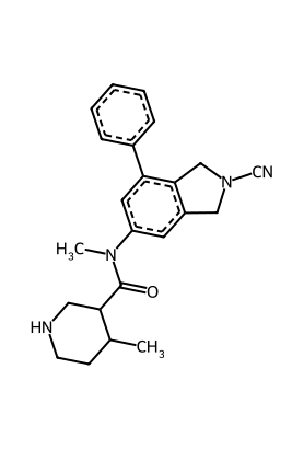 CC1CCNCC1C(=O)N(C)c1cc2c(c(-c3ccccc3)c1)CN(C#N)C2